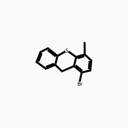 Cc1ccc(Br)c2c1Sc1ccccc1C2